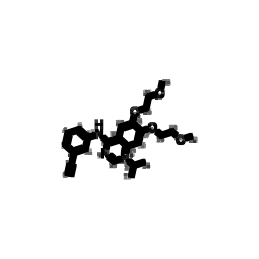 C#Cc1cccc(Nc2nc[n+](C(C)C)c3cc(OCCOC)c(OCCOC)cc23)c1